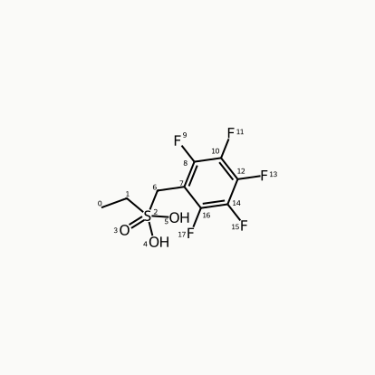 CCS(=O)(O)(O)Cc1c(F)c(F)c(F)c(F)c1F